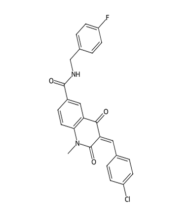 CN1C(=O)/C(=C\c2ccc(Cl)cc2)C(=O)c2cc(C(=O)NCc3ccc(F)cc3)ccc21